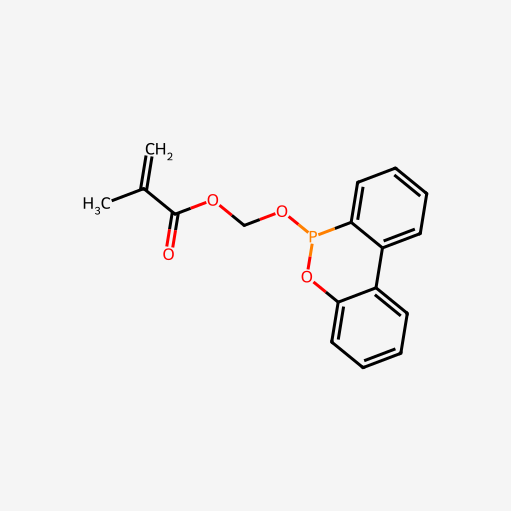 C=C(C)C(=O)OCOP1Oc2ccccc2-c2ccccc21